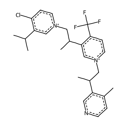 Cc1ccncc1C(C)C[n+]1ccc(C(F)(F)F)c(C(C)C[n+]2ccc(Cl)c(C(C)C)c2)c1